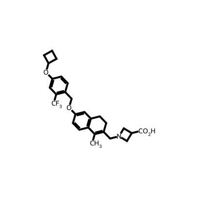 CC1=C(CN2CC(C(=O)O)C2)CCc2cc(OCc3ccc(OC4CCC4)cc3C(F)(F)F)ccc21